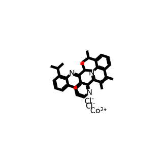 CC(C)C(=Nc1c(C(C)C)cccc1C(C)C)c1cccnc1C(=Nc1c(C(C)C)cccc1C(C)C)C(C)C.[Cl-].[Cl-].[Co+2]